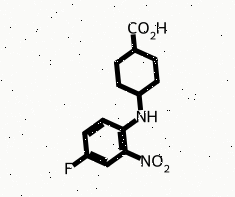 O=C(O)C1CCC(Nc2ccc(F)cc2[N+](=O)[O-])CC1